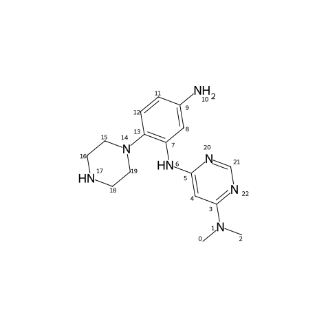 CN(C)c1cc(Nc2cc(N)ccc2N2CCNCC2)ncn1